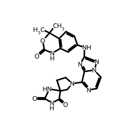 CC1(C)OC(=O)Nc2cc(Nc3nc4c(N5CCC6(C5)NC(=O)NC6=O)nccn4n3)ccc21